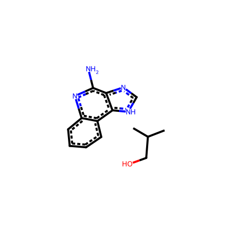 CC(C)CO.Nc1nc2ccccc2c2[nH]cnc12